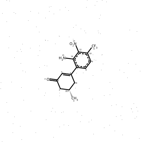 C[C@@H]1CC(=O)C=C(c2ccc(C(F)(F)F)c([N+](=O)[O-])c2N)C1